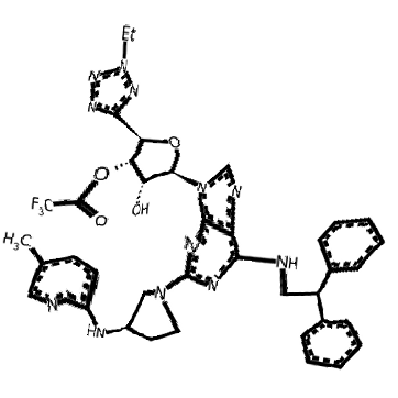 CCn1nnc([C@H]2O[C@@H](n3cnc4c(NCC(c5ccccc5)c5ccccc5)nc(N5CC[C@@H](Nc6ccc(C)cn6)C5)nc43)[C@H](O)[C@@H]2OC(=O)C(F)(F)F)n1